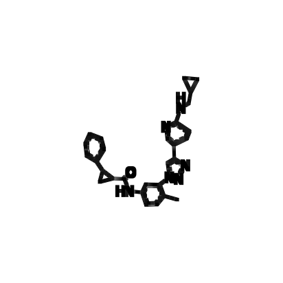 Cc1ccc(NC(=O)C2CC2c2ccccc2)cc1-n1cc(-c2ccc(NCC3CC3)nc2)nn1